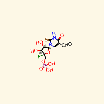 O=Cc1cn([C@@H]2O[C@](F)(COP(=O)(O)O)[C@@H](O)[C@H]2O)c(=S)[nH]c1=O